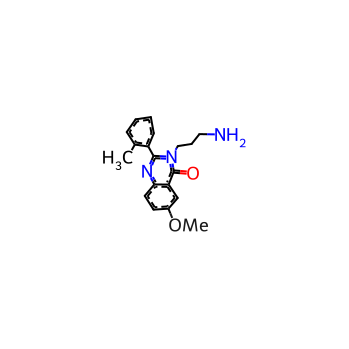 COc1ccc2nc(-c3ccccc3C)n(CCCN)c(=O)c2c1